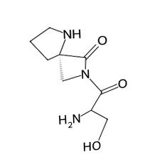 NC(CO)C(=O)N1C[C@@]2(CCCN2)C1=O